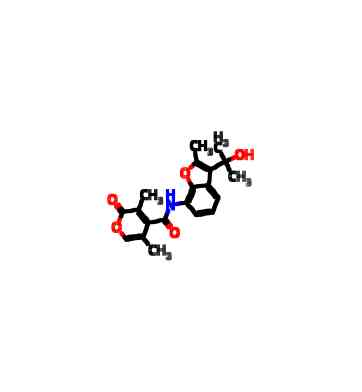 Cc1coc(=O)c(C)c1C(=O)Nc1cccc2c(C(C)(C)O)c(C)oc12